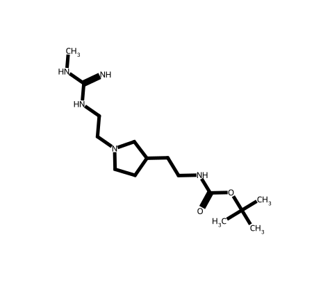 CNC(=N)NCCN1CCC(CCNC(=O)OC(C)(C)C)C1